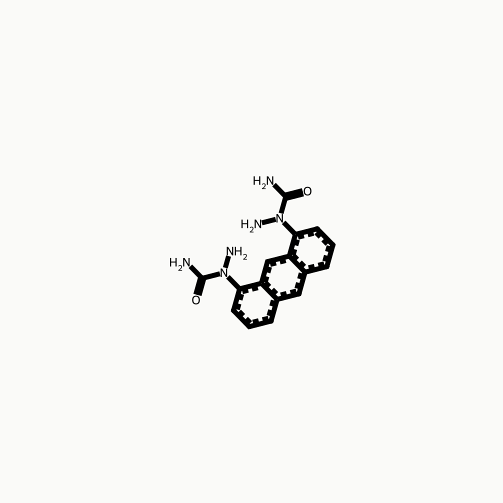 NC(=O)N(N)c1cccc2cc3cccc(N(N)C(N)=O)c3cc12